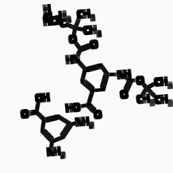 CC(C)(C)OC(=O)Nc1cc(NC(=O)OC(C)(C)C)cc(C(=O)O)c1.Cl.Cl.Nc1cc(N)cc(C(=O)O)c1